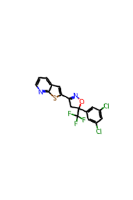 FC(F)(F)C1(c2cc(Cl)cc(Cl)c2)CC(c2cc3cccnc3s2)=NO1